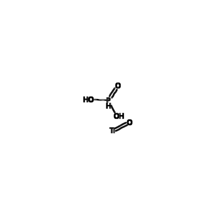 O=[PH](O)O.[O]=[Ti]